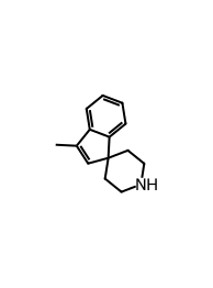 CC1=CC2(CCNCC2)c2ccccc21